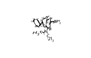 CCCN(CCC)c1nc(N)nc2ncc(-c3ccccc3)nc12